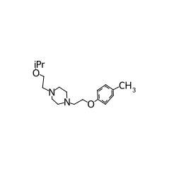 Cc1ccc(OCCN2CCN(CCOC(C)C)CC2)cc1